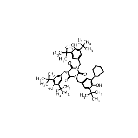 CC(C)(C)c1cc(Cn2c(=O)n(Cc3cc(C(C)(C)C)c(O)c(C(C)(C)C)c3)c(=O)n(Cc3cc(C(C)(C)C)c(O)c(C(C)(C)C)c3)c2=O)cc(C2CCCCC2)c1O